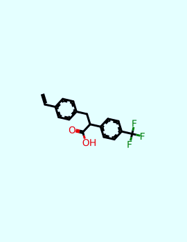 C=Cc1ccc(CC(C(=O)O)c2ccc(C(F)(F)F)cc2)cc1